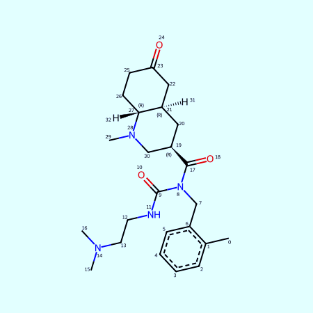 Cc1ccccc1CN(C(=O)NCCN(C)C)C(=O)[C@@H]1C[C@@H]2CC(=O)CC[C@H]2N(C)C1